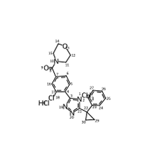 Cl.Cn1c(-c2ccc(C(=O)N3CCOCC3)cc2Cl)nnc1C1(c2ccccc2)CC1